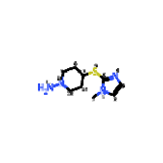 Cn1ccnc1SC1CCN(N)CC1